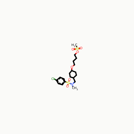 CN(CC1CCC(OCCCCOS(C)(=O)=O)CC1)S(=O)(=O)c1ccc(Cl)cc1